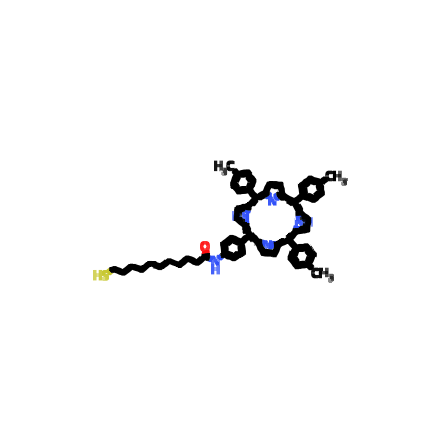 Cc1ccc(-c2c3nc(c(-c4ccc(C)cc4)c4ccc([nH]4)c(-c4ccc(NC(=O)CCCCCCCCCCS)cc4)c4nc(c(-c5ccc(C)cc5)c5ccc2[nH]5)C=C4)C=C3)cc1